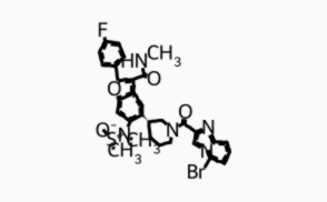 CNC(=O)c1c(-c2ccc(F)cc2)oc2cc(N(C)[S+](C)[O-])c([C@H]3CCCN(C(=O)c4cn5c(Br)cccc5n4)C3)cc12